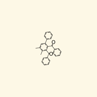 Cc1cc(-c2ccccc2)c(C(=O)c2ccccc2)c(C(=O)c2ccccc2)c1C